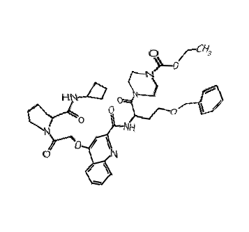 CCOC(=O)N1CCN(C(=O)C(CCOCc2ccccc2)NC(=O)c2cc(OCC(=O)N3CCCC3C(=O)NC3CCC3)c3ccccc3n2)CC1